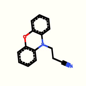 N#CCCN1c2ccccc2Oc2ccccc21